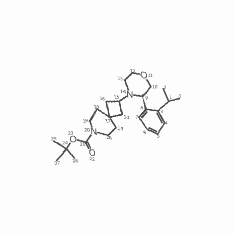 CC(C)c1ccccc1[C@@H]1COCCN1C1CC2(CCN(C(=O)OC(C)(C)C)CC2)C1